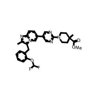 COC(=O)C1(C)CCN(c2ncc(-c3ccc4nc(C)c(Cc5ccccc5OC(F)F)n4c3)cn2)CC1